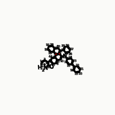 CC/C=C\c1c(N)oc2cc3cc(N(c4ccc(-c5ccccc5)cc4)c4ccccc4C4=CCC5C=CC=CC5=C4)ccc3cc12